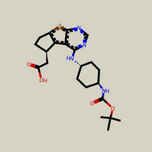 CC(C)(C)OC(=O)N[C@H]1CC[C@H](Nc2ncnc3sc4c(c23)[C@@H](CC(=O)O)CC4)CC1